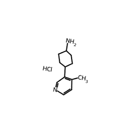 Cc1ccncc1C1CCC(N)CC1.Cl